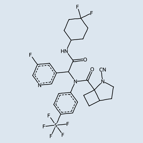 N#CN1CCC2CCC21C(=O)N(c1ccc(S(F)(F)(F)(F)F)cc1)C(C(=O)NC1CCC(F)(F)CC1)c1cncc(F)c1